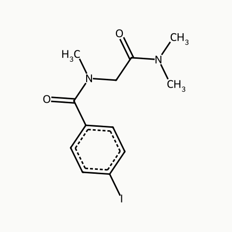 CN(C)C(=O)CN(C)C(=O)c1ccc(I)cc1